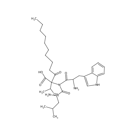 CCCCCCCCCC(=O)C(C(=O)O)(C(C)C)N(C(=O)C(N)Cc1c[nH]c2ccccc12)C(=O)C(N)CC(C)C